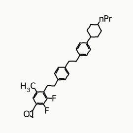 CCCC1CCC(c2ccc(CCc3ccc(CCc4c(C)cc(C5CO5)c(F)c4F)cc3)cc2)CC1